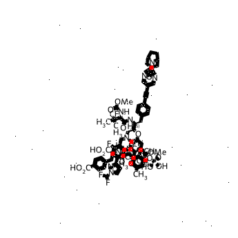 COC(=O)N[C@H](C(=O)N[C@@H](Cc1ccc(C#Cc2cnc(N3CC4CCC(C3)N4C3COC3)nc2)cc1)[C@H](CN(Cc1c(F)cc(-c2ccn(C(F)F)n2)cc1F)NC(=O)[C@@H](NC(=O)OC)C(C)(C)C(F)(F)F)OC(=O)CC(C)(C)c1c(CC(=O)N[C@@H](Cc2ccc(C(=O)O)cc2)C(=O)O)cc(C)cc1OP(=O)(O)O)C(C)(C)C(F)(F)F